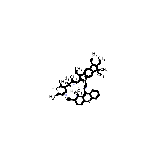 C=C/C=C\C(=C(C)C)C(C)(C)/C(C)=C/c1c(C=C)c2cc3c(cc2n1/C=N/C1=C2C(=CCC(C#N)/C2=N/C)SC2C=CC=CC12)C(C)(C)C(C=C)=C3C=C